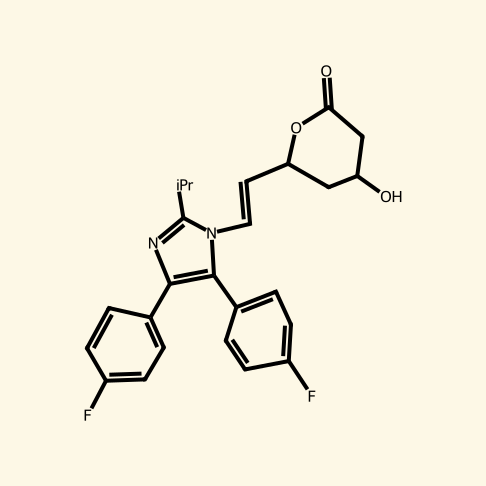 CC(C)c1nc(-c2ccc(F)cc2)c(-c2ccc(F)cc2)n1/C=C/C1CC(O)CC(=O)O1